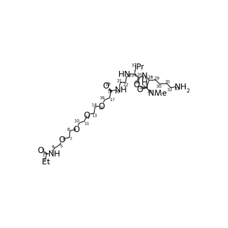 CCC(=O)NCCOCCOCCOCCOCCC(=O)NCCN[C@H](C(=O)NC(CCCCN)C(=O)NC)C(C)C